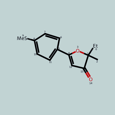 CCC1(C)OC(c2ccc(SC)cc2)=CC1=O